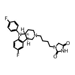 O=C1CN(CCCCN2CC[C@@H]3[C@@H](C2)c2cc(F)ccc2N3c2ccc(F)cc2)C(=O)N1